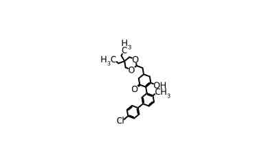 CCC1(CC)COC(CC2CC(=O)C(c3cc(-c4ccc(Cl)cc4)ccc3C)=C(O)C2)OC1